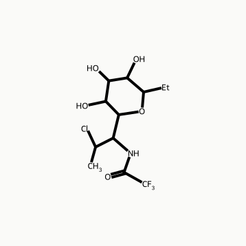 CCC1OC(C(NC(=O)C(F)(F)F)C(C)Cl)C(O)C(O)C1O